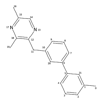 Cc1cccc(-c2cccc(Cc3ncc(C)nc3C)c2)c1